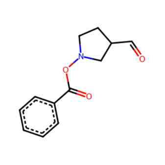 O=CC1CCN(OC(=O)c2ccccc2)C1